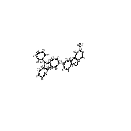 Brc1ccc2oc3ccc(-c4ccc5c(c4)c4ncccc4n5-c4ccccc4)cc3c2c1